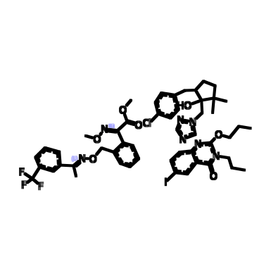 CC1(C)CCC(Cc2ccc(Cl)cc2)C1(O)Cn1cncn1.CCCOc1nc2ccc(I)cc2c(=O)n1CCC.CO/N=C(/C(=O)OC)c1ccccc1CO/N=C(\C)c1cccc(C(F)(F)F)c1